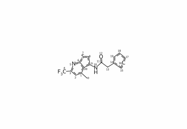 Cc1cc(C(F)(F)F)nc2scc(NC(=O)Cc3ccccc3)c12